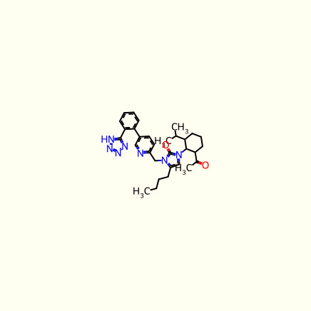 CCCCc1cn(C2C(C(C)=O)CCCC2C(C)C)c(=O)n1Cc1ccc(-c2ccccc2-c2nnn[nH]2)cn1